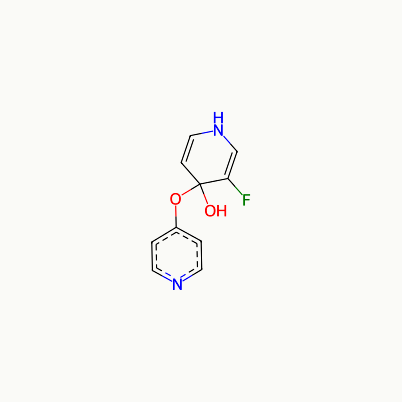 OC1(Oc2ccncc2)C=CNC=C1F